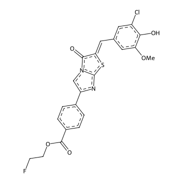 COc1cc(/C=c2\sc3nc(-c4ccc(C(=O)OCCF)cc4)cn3c2=O)cc(Cl)c1O